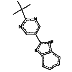 CC(C)(C)c1ncc(-c2nc3ccccc3[nH]2)cn1